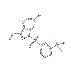 O=Cc1cn(S(=O)(=O)c2cccc(C(F)(F)F)c2)c2cc(Br)ccc12